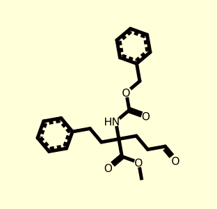 COC(=O)C(CCC=O)(CCc1ccccc1)NC(=O)OCc1ccccc1